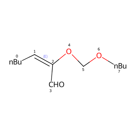 CCCC/C=C(\C=O)OCOCCCC